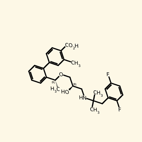 Cc1cc(-c2ccccc2[C@@H](C)OC[C@H](O)CNC(C)(C)Cc2cc(F)ccc2F)ccc1C(=O)O